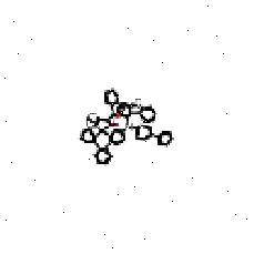 c1ccc(-c2ccc(N(c3ccc4c(c3)C3(c5ccccc5-c5ccccc5-4)c4ccccc4-c4c3ccc3c4-c4ccccc4C3)c3cccc4oc5ccccc5c34)cc2)cc1